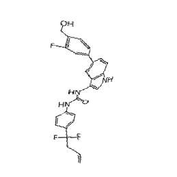 C=CCC(F)(F)c1ccc(NC(=O)Nc2c[nH]c3ccc(-c4ccc(CO)c(F)c4)cc23)cc1